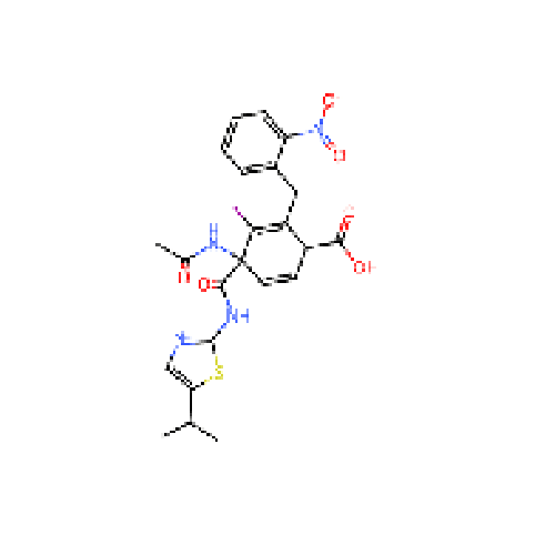 CC(=O)NC1(C(=O)Nc2ncc(C(C)C)s2)C=CC(C(=O)O)C(Cc2ccccc2[N+](=O)[O-])=C1I